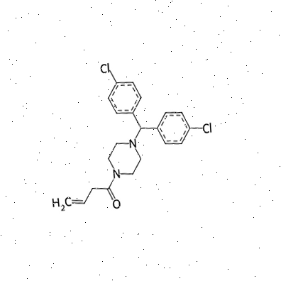 C=CCC(=O)N1CCN(C(c2ccc(Cl)cc2)c2ccc(Cl)cc2)CC1